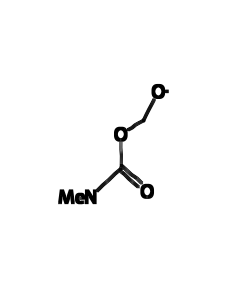 CNC(=O)OC[O]